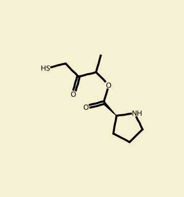 CC(OC(=O)[C@@H]1CCCN1)C(=O)CS